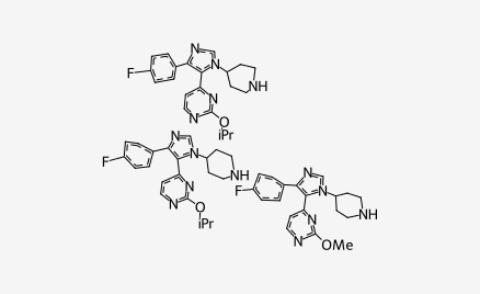 CC(C)Oc1nccc(-c2c(-c3ccc(F)cc3)ncn2C2CCNCC2)n1.CC(C)Oc1nccc(-c2c(-c3ccc(F)cc3)ncn2C2CCNCC2)n1.COc1nccc(-c2c(-c3ccc(F)cc3)ncn2C2CCNCC2)n1